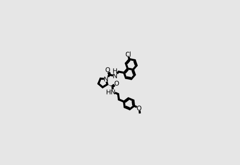 COc1ccc(CCNC(=O)[C@@H]2CCCN2C(=O)NCc2cccc3ccc(Cl)cc23)cc1